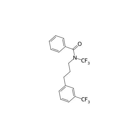 O=C(c1ccccc1)N(CCCc1cccc(C(F)(F)F)c1)C(F)(F)F